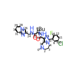 CN1CCCn2c(-c3cc(Cl)ccc3F)nc(C(=O)N[C@H](C(=O)NCc3cn4ccccc4n3)C(C)(C)C)c2C1